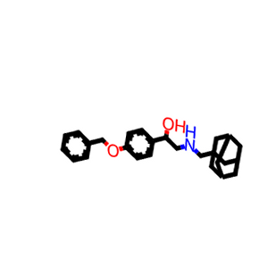 OC(CNCC12CC3CC(CC(C3)C1)C2)c1ccc(OCc2ccccc2)cc1